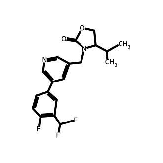 CC(C)C1COC(=O)N1Cc1cncc(-c2ccc(F)c(C(F)F)c2)c1